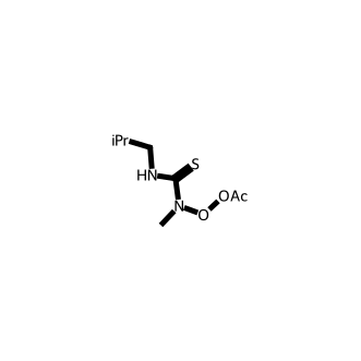 CC(=O)OON(C)C(=S)NCC(C)C